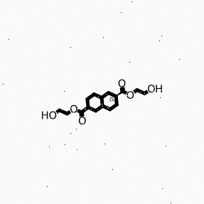 O=C(OCCO)C1CCC2C[C@@H](C(=O)OCCO)CCC2C1